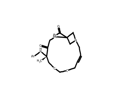 CC(C)N[C@@]1(C)CCCCCC=CCN2CC(C(=O)C(C)C)(C2)NCC1=O